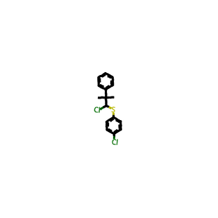 CC(C)(c1ccccc1)C(Cl)Sc1ccc(Cl)cc1